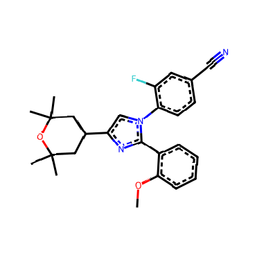 COc1ccccc1-c1nc(C2CC(C)(C)OC(C)(C)C2)cn1-c1ccc(C#N)cc1F